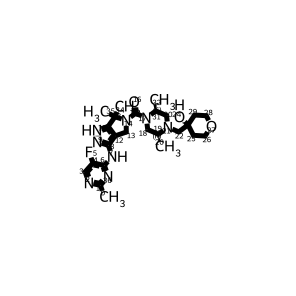 Cc1ncc(F)c(Nc2n[nH]c3c2CN(C(=O)N2C[C@@H](C)N(CC4(O)CCOCC4)C[C@@H]2C)C3(C)C)n1